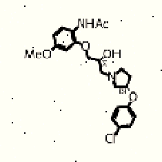 COc1ccc(NC(C)=O)c(OC[C@@H](O)CN2CC[C@H](Oc3ccc(Cl)cc3)C2)c1